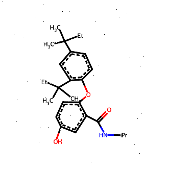 CCC(C)(C)c1ccc(Oc2ccc(O)cc2C(=O)NC(C)C)c(C(C)(C)CC)c1